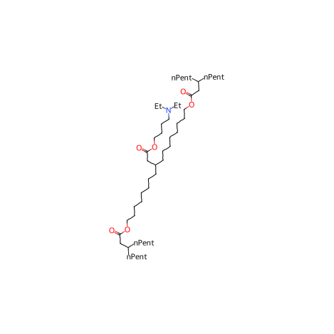 CCCCCC(CCCCC)CC(=O)OCCCCCCCCC(CCCCCCCCOC(=O)CC(CCCCC)CCCCC)CC(=O)OCCCCN(CC)CC